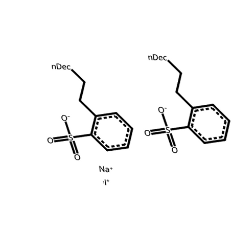 CCCCCCCCCCCCc1ccccc1S(=O)(=O)[O-].CCCCCCCCCCCCc1ccccc1S(=O)(=O)[O-].[I+].[Na+]